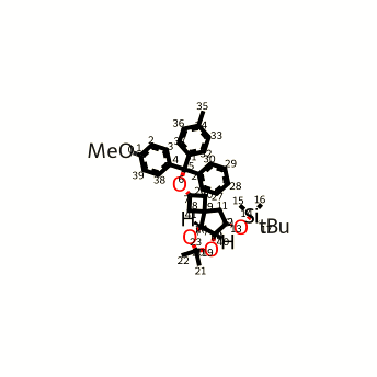 COc1ccc(C(OC2CC3(C2)C[C@H](O[Si](C)(C)C(C)(C)C)[C@@H]2OC(C)(C)O[C@@H]23)(c2ccccc2)c2ccc(C)cc2)cc1